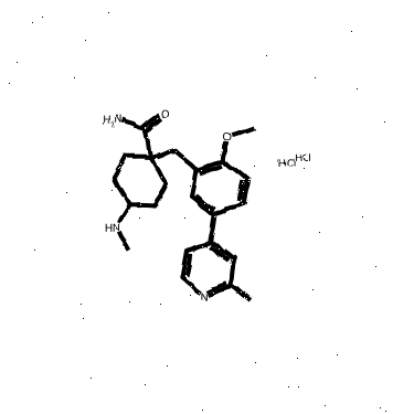 CNC1CCC(Cc2cc(-c3ccnc(C)c3)ccc2OC)(C(N)=O)CC1.Cl.Cl